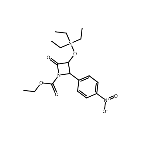 CCOC(=O)N1C(=O)C(O[Si](CC)(CC)CC)C1c1ccc([N+](=O)[O-])cc1